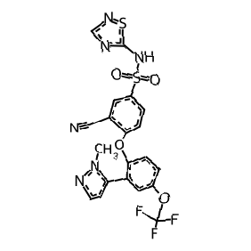 Cn1nccc1-c1cc(OC(F)(F)F)ccc1Oc1ccc(S(=O)(=O)Nc2ncns2)cc1C#N